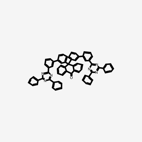 O=C1c2ccccc2C(c2cccc(-c3cccc(-c4nc(-c5ccccc5)nc(-c5ccccc5)n4)c3)c2)(c2cccc(-c3cccc(-c4nc(-c5ccccc5)nc(-c5ccccc5)n4)c3)c2)c2ccccc21